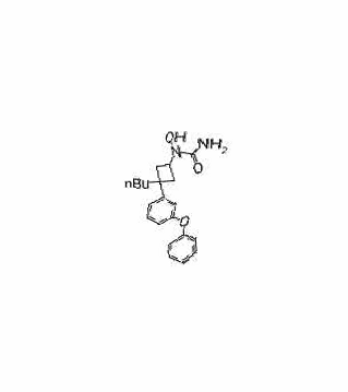 CCCCC1(c2cccc(Oc3ccccc3)c2)CC(N(O)C(N)=O)C1